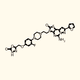 Nc1nc2c(sc(=O)n2CCN2CCN(c3ccc(OCc4n[nH]c(=O)o4)cc3F)CC2)c2cc(-c3ccco3)nn12